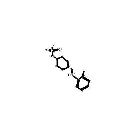 CC(C)S(=O)(=O)N[C@H]1CC[C@H](CNc2ccccc2F)CC1